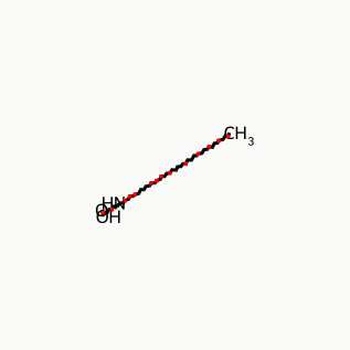 CCCCCCCCCCCCCCCCCCCCCCCCCCCCCCCCCCCCCCCCCCNCCCCCC(=O)O